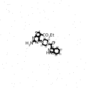 CCOC(=O)c1csc2nc(N)nc(N3CCN(C(=O)c4n[nH]c5ccccc45)CC3)c12